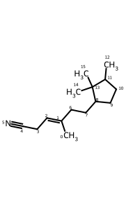 C/C(=C\CC#N)CCC1CCC(C)C1(C)C